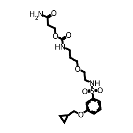 NC(=O)CCOC(=O)NCCCOCCNS(=O)(=O)c1cccc(OCC2CC2)c1